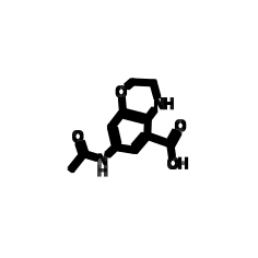 CC(=O)Nc1cc2c(c(C(=O)O)c1)NCCO2